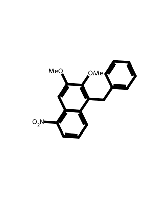 COc1cc2c([N+](=O)[O-])cccc2c(Cc2ccccc2)c1OC